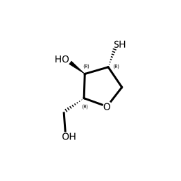 OC[C@H]1OC[C@@H](S)[C@@H]1O